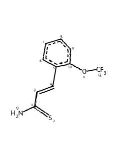 NC(=S)C=Cc1ccccc1OC(F)(F)F